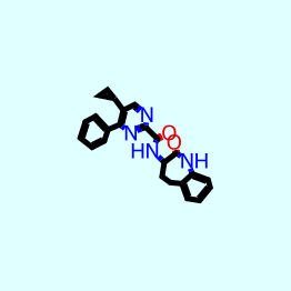 O=C(NC1CCc2ccccc2NC1=O)c1ncc(C2CC2)c(-c2ccccc2)n1